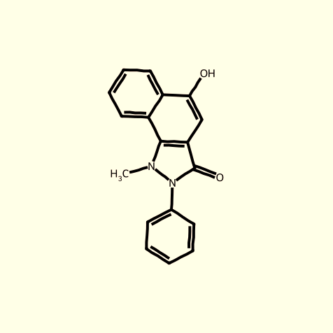 Cn1c2c(cc(O)c3ccccc32)c(=O)n1-c1ccccc1